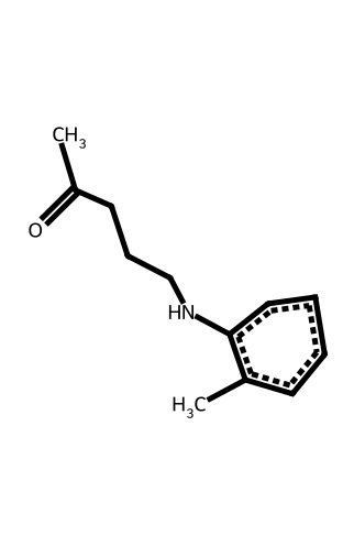 CC(=O)CCCNc1ccccc1C